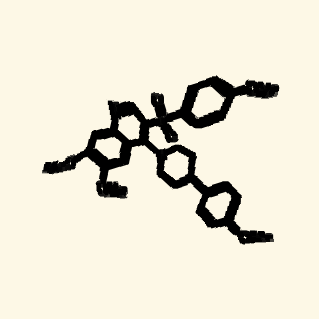 COc1ccc(C2CCN(c3c(S(=O)(=O)c4ccc(OC)cc4)cnc4cc(OC)c(OC)cc34)CC2)cc1